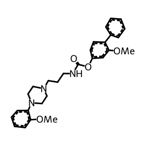 COc1cc(OC(=O)NCCCN2CCN(c3ccccc3OC)CC2)ccc1-c1ccccc1